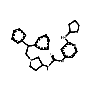 O=C(Nc1ccnc(NC2CCCC2)c1)NC1CCN(CC(c2ccccc2)c2ccccc2)C1